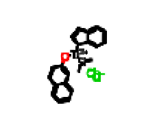 C[Si](C)=[Ti+2]([O]c1ccc2ccccc2c1)[CH]1C=Cc2ccccc21.[Cl-].[Cl-]